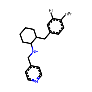 CCCc1ccc(CC2CCCCC2NCc2ccncc2)cc1CC